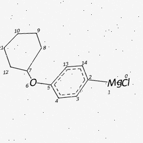 [Cl][Mg][c]1ccc(OC2CCCCC2)cc1